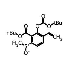 C=Cc1ccc([S+](C)[O-])c(C(=O)OCCCC)c1OC(=O)OC(C)(C)C